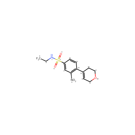 O=[N+]([O-])c1cc(S(=O)(=O)NCC(F)(F)F)ccc1C1=CCOCC1